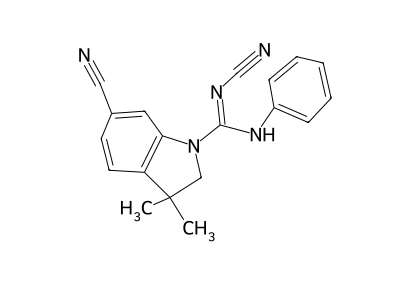 CC1(C)CN(C(=NC#N)Nc2ccccc2)c2cc(C#N)ccc21